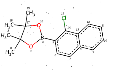 CC1(C)OB(c2ccc3ccccc3c2Cl)OC1(C)C